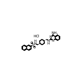 Cl.Nc1nc(NC[C@H]2CC[C@H](CNS(=O)(=O)c3ccc4ccccc4c3)CC2)nc2ccccc12